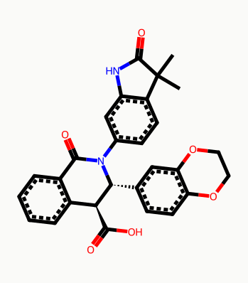 CC1(C)C(=O)Nc2cc(N3C(=O)c4ccccc4[C@H](C(=O)O)[C@H]3c3ccc4c(c3)OCCO4)ccc21